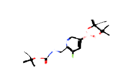 CC(C)(C)OC(=O)NCc1ncc(B2OC(C)(C)C(C)(C)O2)cc1F